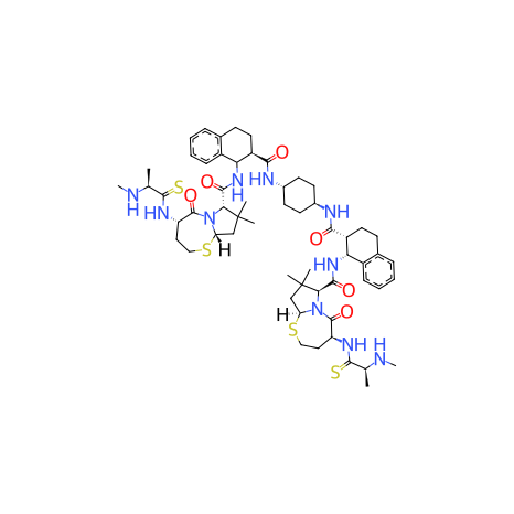 CN[C@@H](C)C(=S)N[C@H]1CCS[C@H]2CC(C)(C)[C@@H](C(=O)NC3c4ccccc4CC[C@H]3C(=O)N[C@H]3CC[C@H](NC(=O)[C@@H]4CCc5ccccc5[C@@H]4NC(=O)[C@H]4N5C(=O)[C@@H](NC(=S)[C@H](C)NC)CCS[C@H]5CC4(C)C)CC3)N2C1=O